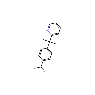 CC(C)c1ccc(C(C)(C)c2ccccn2)cc1